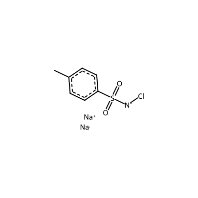 Cc1ccc(S(=O)(=O)[N-]Cl)cc1.[Na+].[Na]